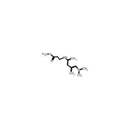 COC(=O)CCNC(C)CC(C)CN(C)C